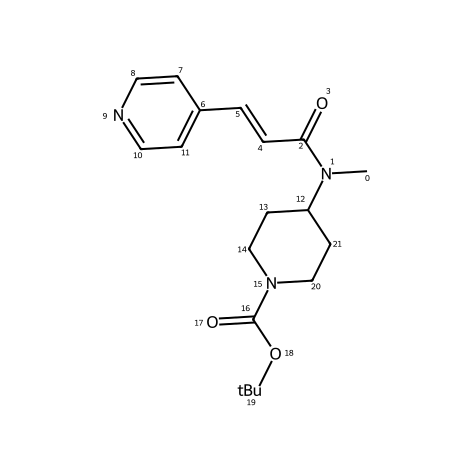 CN(C(=O)C=Cc1ccncc1)C1CCN(C(=O)OC(C)(C)C)CC1